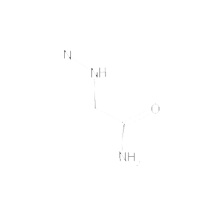 [N]NCC(N)=O